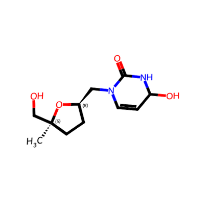 C[C@@]1(CO)CC[C@H](CN2C=CC(O)NC2=O)O1